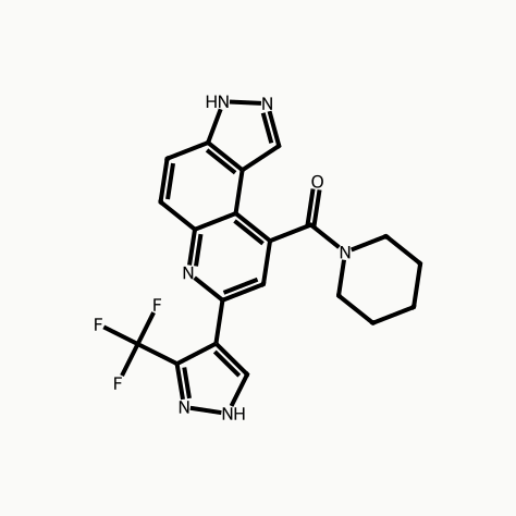 O=C(c1cc(-c2c[nH]nc2C(F)(F)F)nc2ccc3[nH]ncc3c12)N1CCCCC1